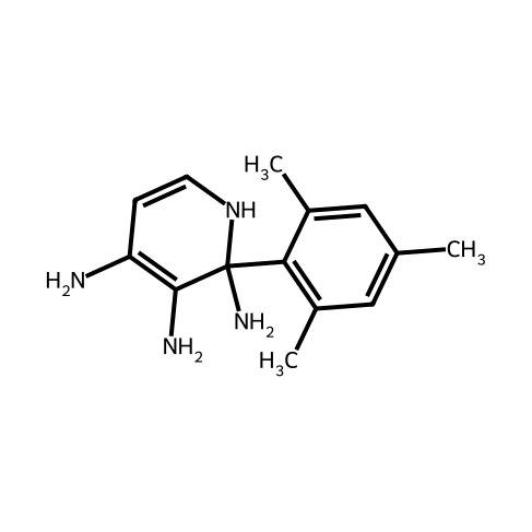 Cc1cc(C)c(C2(N)NC=CC(N)=C2N)c(C)c1